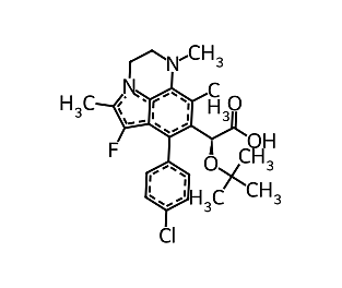 Cc1c([C@H](OC(C)(C)C)C(=O)O)c(-c2ccc(Cl)cc2)c2c(F)c(C)n3c2c1N(C)CC3